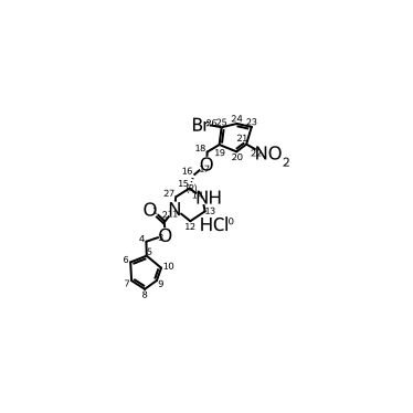 Cl.O=C(OCc1ccccc1)N1CCN[C@@H](COCc2cc([N+](=O)[O-])ccc2Br)C1